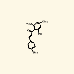 COc1cc(O)c(C(=O)/C=C/c2ccc(SC)cc2)c(OC)c1